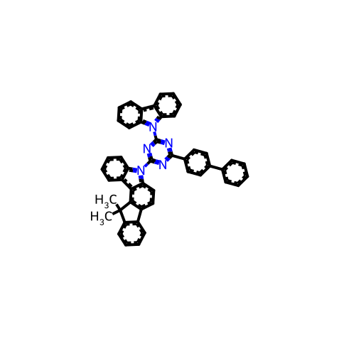 CC1(C)c2ccccc2-c2ccc3c(c21)c1ccccc1n3-c1nc(-c2ccc(-c3ccccc3)cc2)nc(-n2c3ccccc3c3ccccc32)n1